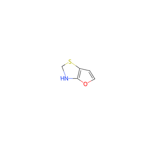 c1cc2c(o1)NCS2